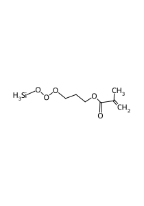 C=C(C)C(=O)OCCCOOO[SiH3]